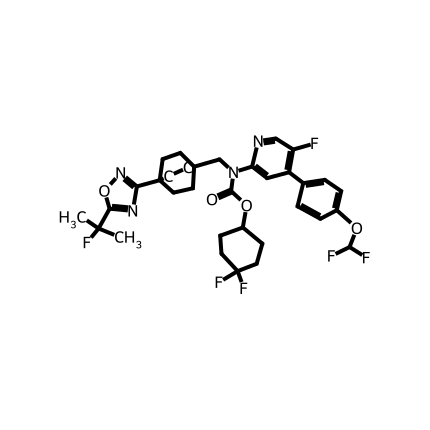 CC(C)(F)c1nc(C23CCC(CN(C(=O)OC4CCC(F)(F)CC4)c4cc(-c5ccc(OC(F)F)cc5)c(F)cn4)(CC2)CC3)no1